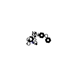 CO/C=C(/C(=O)OC)C1=C(C)N2N=CN(c3ccc(Oc4ccccc4)cc3)C2S1